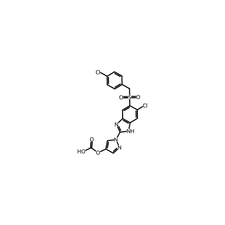 O=C(O)Oc1cnn(-c2nc3cc(S(=O)(=O)Cc4ccc(Cl)cc4)c(Cl)cc3[nH]2)c1